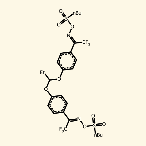 CCCCS(=O)(=O)ON=C(c1ccc(OC(CC)Oc2ccc(C(=NOS(=O)(=O)CCCC)C(F)(F)F)cc2)cc1)C(F)(F)F